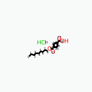 CCCCCCCCCOC(=O)c1ccc(C(=O)O)cc1.Cl